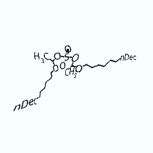 CCCCCCCCCCCCCCCCOC(C)OS(=O)(=O)OC(C)OCCCCCCCCCCCCCCCC